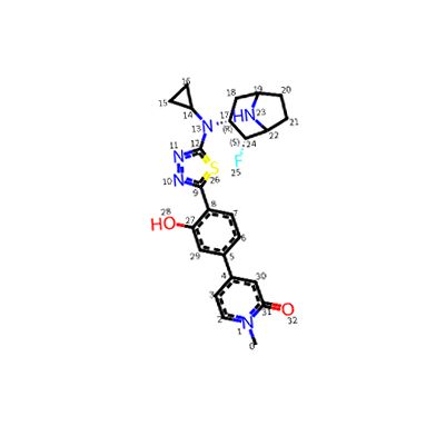 Cn1ccc(-c2ccc(-c3nnc(N(C4CC4)[C@@H]4CC5CCC(N5)[C@@H]4F)s3)c(O)c2)cc1=O